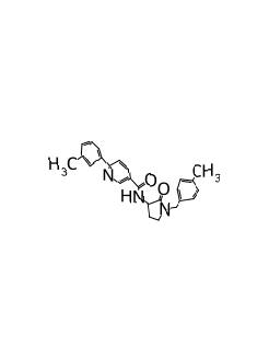 Cc1ccc(CN2CCC(NC(=O)c3ccc(-c4cccc(C)c4)nc3)C2=O)cc1